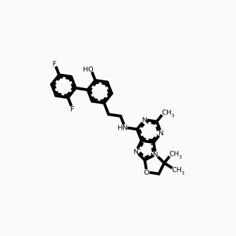 Cc1nc(NCCc2ccc(O)c(-c3cc(F)ccc3F)c2)c2nc3n(c2n1)C(C)(C)CO3